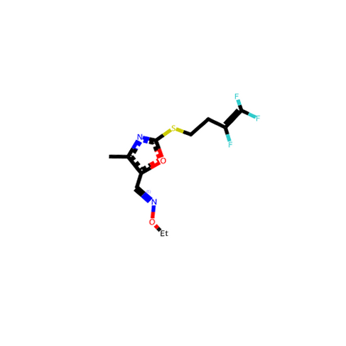 CCO/N=C/c1oc(SCCC(F)=C(F)F)nc1C